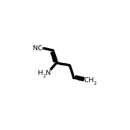 C=CCC(N)=CC#N